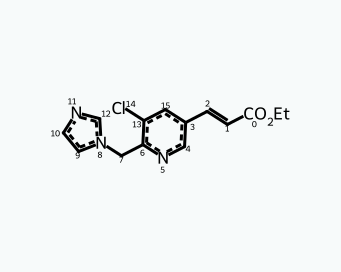 CCOC(=O)/C=C/c1cnc(Cn2ccnc2)c(Cl)c1